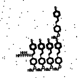 CCCCO[C@H]1CC[C@H](CCc2ccc([S])cc2)CC1.CCCCO[C@H]1CC[C@H](CCc2ccc([S])cc2)CC1.CCCCO[C@H]1CC[C@H](CCc2ccc([S])cc2)CC1.CCCCO[C@H]1CC[C@H](CCc2ccc([S])cc2)CC1.CCCCO[C@H]1CC[C@H](CCc2ccc([S])cc2)CC1.F.F.F.F.F